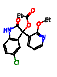 CCOc1ncccc1C1(OC(=O)CC)C(=O)Nc2ccc(Cl)cc21